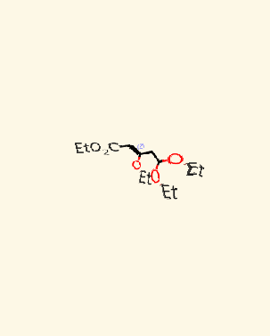 CCOC(=O)/C=C(/CC(OCC)OCC)OCC